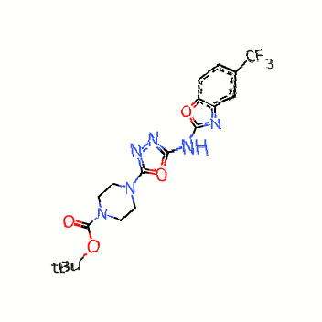 CC(C)(C)OC(=O)N1CCN(c2nnc(Nc3nc4cc(C(F)(F)F)ccc4o3)o2)CC1